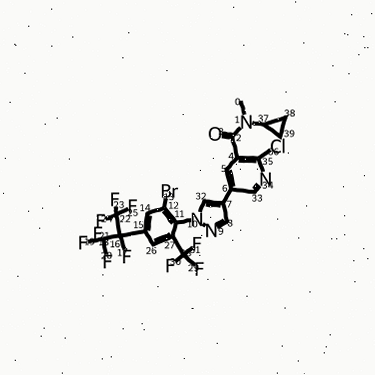 CN(C(=O)c1cc(-c2cnn(-c3c(Br)cc(C(F)(C(F)(F)F)C(F)(F)F)cc3C(F)(F)F)c2)cnc1Cl)C1CC1